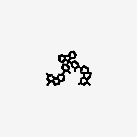 Cc1cc(C)c2ccc3ccc(-c4ccc(C5(c6ccc(-c7ccc8ccc9c(C)cc(C)nc9c8n7)c(C)c6)c6ccccc6-c6ccccc65)cc4C)nc3c2n1